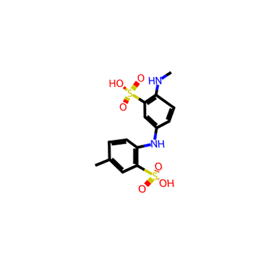 CNc1ccc(Nc2ccc(C)cc2S(=O)(=O)O)cc1S(=O)(=O)O